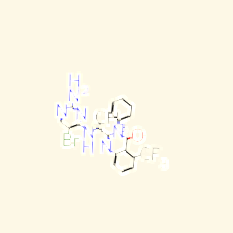 C[C@@H](Nc1nc(N)ncc1Br)c1nc2cccc(C(F)(F)F)c2c(=O)n1-c1ccccc1